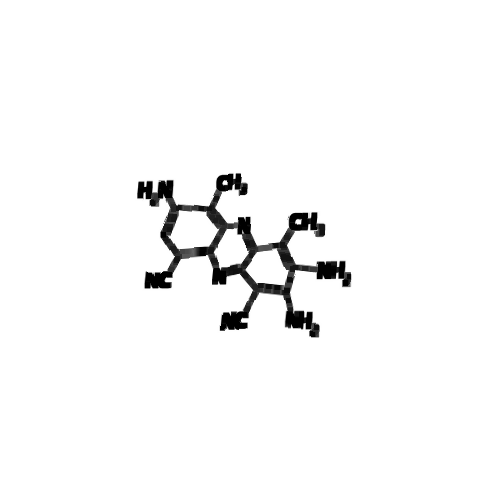 Cc1c(N)cc(C#N)c2nc3c(C#N)c(N)c(N)c(C)c3nc12